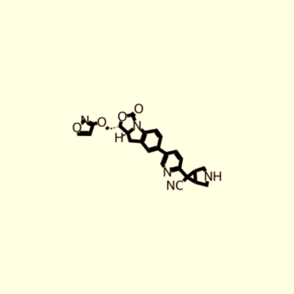 N#CC1(c2ccc(-c3ccc4c(c3)C[C@H]3[C@H](COc5ccon5)OC(=O)N43)cn2)C2CNCC21